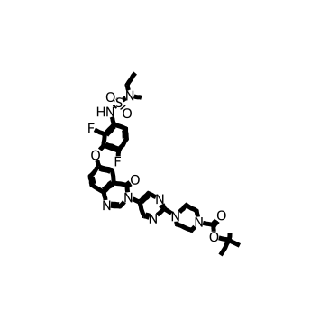 CCN(C)S(=O)(=O)Nc1ccc(F)c(Oc2ccc3ncn(-c4cnc(N5CCN(C(=O)OC(C)(C)C)CC5)nc4)c(=O)c3c2)c1F